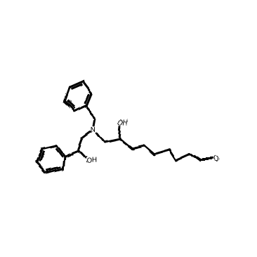 [O]CCCCCCCC(O)CN(Cc1ccccc1)CC(O)c1ccccc1